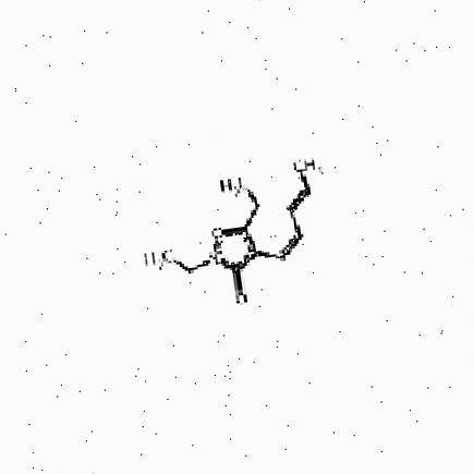 C/C=C/C=C\c1c(CC)on(CC)c1=O